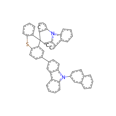 c1ccc2c(c1)Sc1ccc(-c3ccc4c(c3)c3ccccc3n4-c3ccc4ccccc4c3)cc1C21c2ccccc2-n2c3ccccc3c3cccc1c32